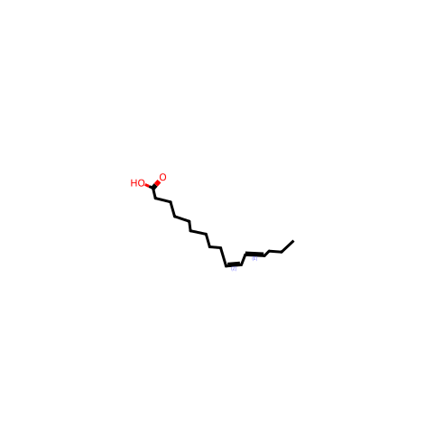 CCC/C=C/C=C\CCCCCCCCC(=O)O